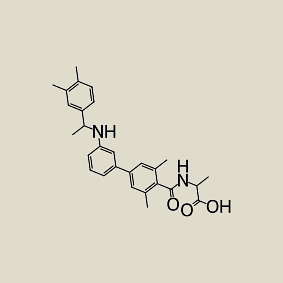 Cc1ccc(C(C)Nc2cccc(-c3cc(C)c(C(=O)NC(C)C(=O)O)c(C)c3)c2)cc1C